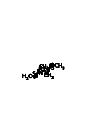 Cc1ccc(-c2cn(C)c(-c3nc(-c4ccc(C)s4)cn3C)n2)s1